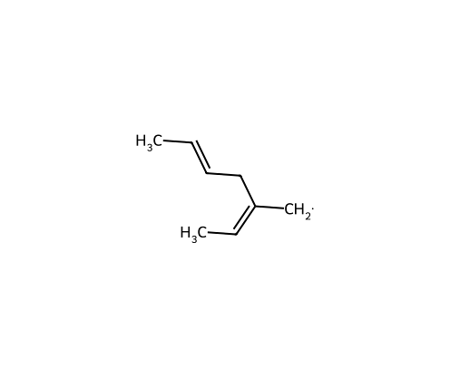 [CH2]C(=CC)CC=CC